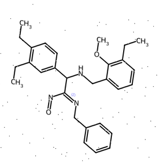 CCc1ccc(C(NCc2cccc(CC)c2OC)/C(N=O)=N/Cc2ccccc2)cc1CC